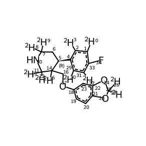 [2H]c1c([2H])c([C@@H]2CC([2H])([2H])NC([2H])([2H])C2([2H])COc2ccc3c(c2)OC([2H])([2H])O3)c([2H])c([2H])c1F